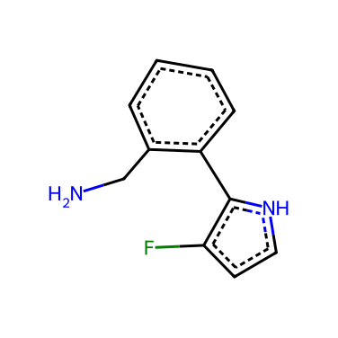 NCc1ccccc1-c1[nH]ccc1F